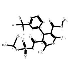 COC(=O)C1=C(C)NC(C)=C(C(=O)CS(=O)(=O)NC(C)C)C1c1cccc(C(F)(F)F)c1